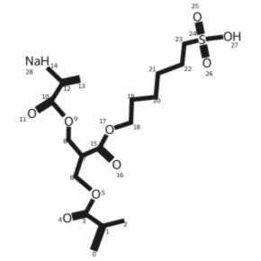 C=C(C)C(=O)OCC(COC(=O)C(=C)C)C(=O)OCCCCCCS(=O)(=O)O.[NaH]